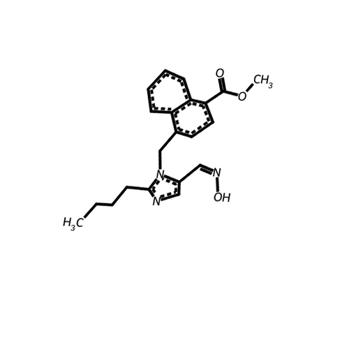 CCCCc1ncc(/C=N\O)n1Cc1ccc(C(=O)OC)c2ccccc12